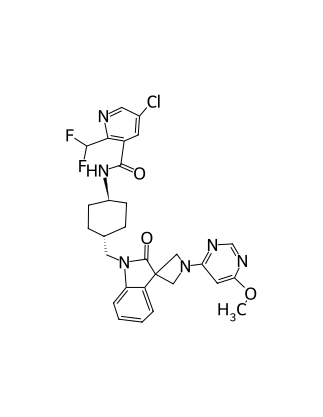 COc1cc(N2CC3(C2)C(=O)N(C[C@H]2CC[C@H](NC(=O)c4cc(Cl)cnc4C(F)F)CC2)c2ccccc23)ncn1